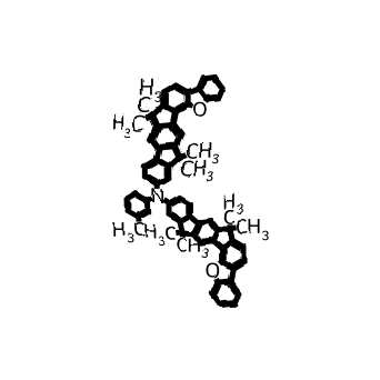 Cc1cccc(N(c2ccc3c(c2)C(C)(C)c2cc4c(cc2-3)C(C)(C)c2ccc3c(oc5ccccc53)c2-4)c2ccc3c(c2)C(C)(C)c2cc4c(cc2-3)C(C)(C)c2ccc3c(oc5ccccc53)c2-4)c1